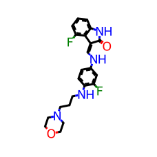 O=C1Nc2cccc(F)c2C1=CNc1ccc(NCCCN2CCOCC2)c(F)c1